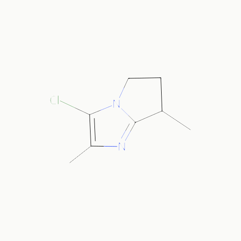 Cc1nc2n(c1Cl)CCC2C